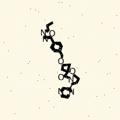 CCc1nnc(-c2ccc(COC3CC4(C3)OC3CC[C@@H](c5cnccn5)N3C4=O)cc2)o1